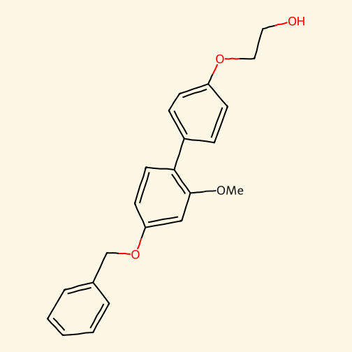 COc1cc(OCc2ccccc2)ccc1-c1ccc(OCCO)cc1